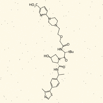 Cc1ncsc1-c1ccc(C(C)NC(=O)[C@@H]2C[C@@H](O)CN2C(=O)C(NC(=O)COCCN2CCN(c3ccc(C(=O)O)cn3)CC2)C(C)(C)C)cc1